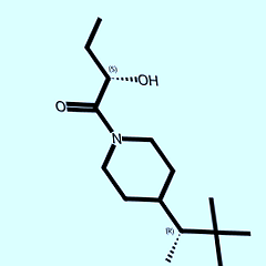 CC[C@H](O)C(=O)N1CCC([C@@H](C)C(C)(C)C)CC1